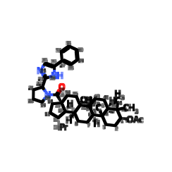 CC(=O)O[C@H]1CC[C@]2(C)[C@H]3CC[C@@H]4[C@H]5[C@H](C(C)C)CC[C@]5(C(=O)N5CCCC5c5ncc(-c6ccccc6)[nH]5)CC[C@@]4(C)[C@]3(C)CC[C@H]2C1(C)C